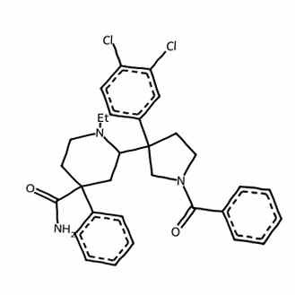 CCN1CCC(C(N)=O)(c2ccccc2)CC1C1(c2ccc(Cl)c(Cl)c2)CCN(C(=O)c2ccccc2)C1